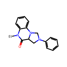 CCN1C(=O)C2CN(c3ccccc3)CN2c2ccccc21